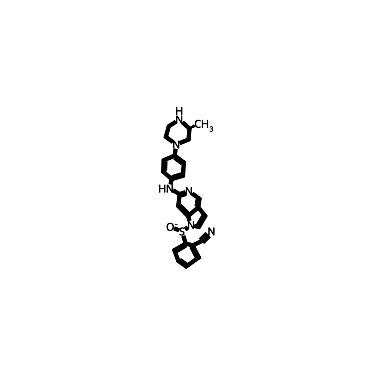 C[C@H]1CN(c2ccc(Nc3cc4c(ccn4[S+]([O-])c4ccccc4C#N)cn3)cc2)CCN1